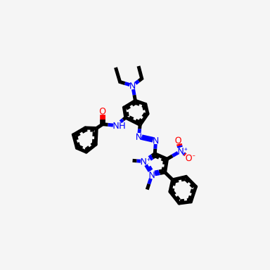 CCN(CC)c1ccc(/N=N/c2c([N+](=O)[O-])c(-c3ccccc3)n(C)[n+]2C)c(NC(=O)c2ccccc2)c1